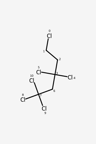 ClCCC(Cl)(Cl)CC(Cl)(Cl)Cl